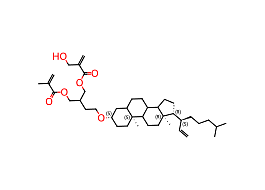 C=C[C@H](CCCC(C)C)[C@H]1CCC2C3CCC4C[C@@H](OCCC(COC(=O)C(=C)C)COC(=O)C(=C)CO)CC[C@]4(C)C3CC[C@@]21C